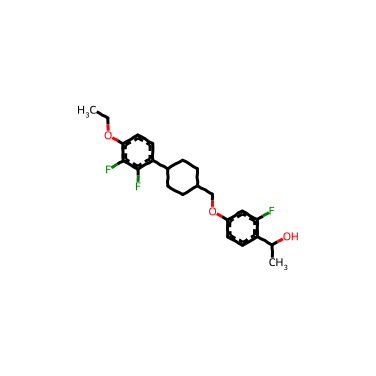 CCOc1ccc(C2CCC(COc3ccc(C(C)O)c(F)c3)CC2)c(F)c1F